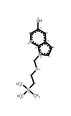 C[Si](C)(C)CCOCn1ccc2cc(O)cnc21